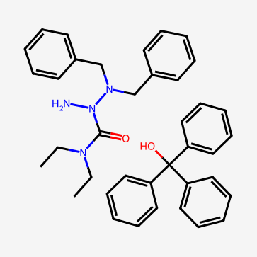 CCN(CC)C(=O)N(N)N(Cc1ccccc1)Cc1ccccc1.OC(c1ccccc1)(c1ccccc1)c1ccccc1